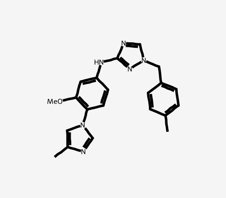 COc1cc(Nc2ncn(Cc3ccc(C)cc3)n2)ccc1-n1cnc(C)c1